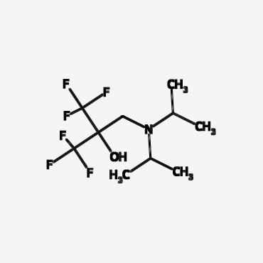 CC(C)N(CC(O)(C(F)(F)F)C(F)(F)F)C(C)C